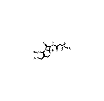 CC(=O)OCC1=C(C(=O)O)N2C(=O)[C@@H](NC(=O)CS(N)(=O)=O)[C@H]2SC1